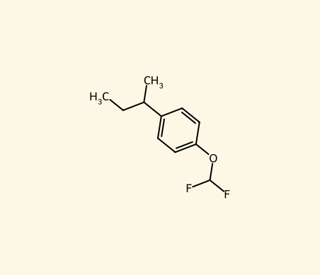 CCC(C)c1ccc(OC(F)F)cc1